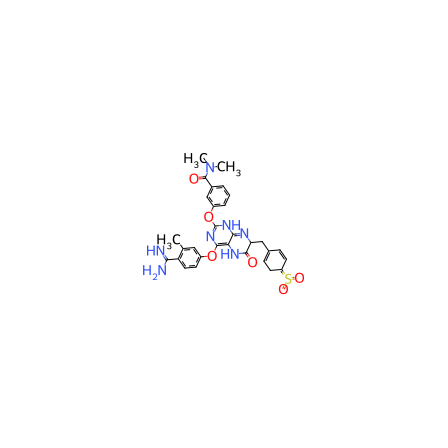 Cc1cc(OC2=C3NC(=O)C(CC4=CCC(=S(=O)=O)C=C4)N=C3NC(Oc3cccc(C(=O)N(C)C)c3)=N2)ccc1C(=N)N